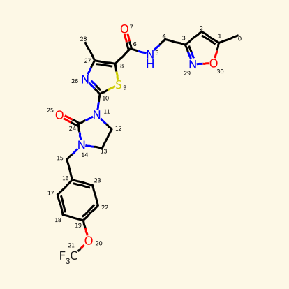 Cc1cc(CNC(=O)c2sc(N3CCN(Cc4ccc(OC(F)(F)F)cc4)C3=O)nc2C)no1